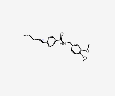 CCC/C=C/c1ccc(C(=O)NCc2ccc(OC)c(OC)c2)cc1